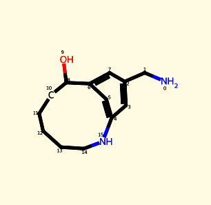 NCc1cc2cc(c1)C(O)CCCCCN2